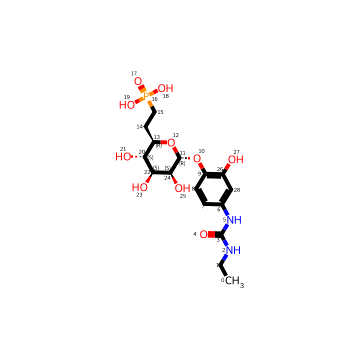 CCNC(=O)Nc1ccc(O[C@H]2O[C@H](CCP(=O)(O)O)[C@@H](O)[C@H](O)[C@@H]2O)c(O)c1